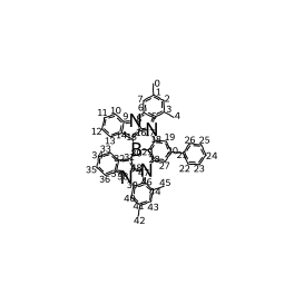 Cc1cc(C)c2c(c1)n1c3ccccc3c3c1n2-c1cc(-c2ccccc2)cc2c1B3c1c3ccccc3n3c4cc(C)cc(C)c4n-2c13